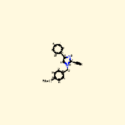 C#Cc1nc(-c2ccccc2)cn1Cc1ccc(OC)cc1